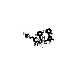 CCOC(=O)C[C@@H]1NC(=O)[C@H](n2cc(CCN3CC(F)C3)cc(CC)c2=O)c2cc(ccc2F)Oc2cccc(C)c2-c2cc(C)c(F)c1c2